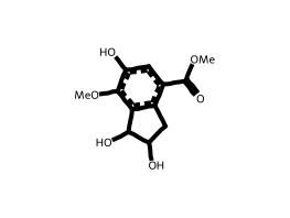 COC(=O)c1cc(O)c(OC)c2c1CC(O)C2O